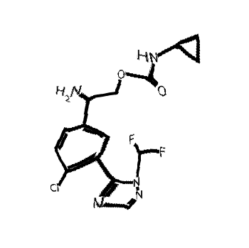 NC(COC(=O)NC1CC1)c1ccc(Cl)c(-c2ncnn2C(F)F)c1